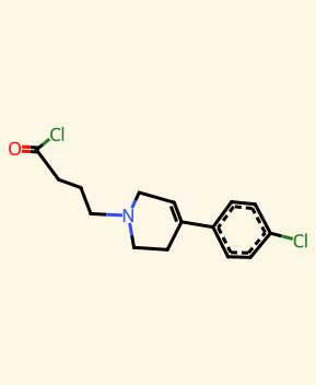 O=C(Cl)CCCN1CC=C(c2ccc(Cl)cc2)CC1